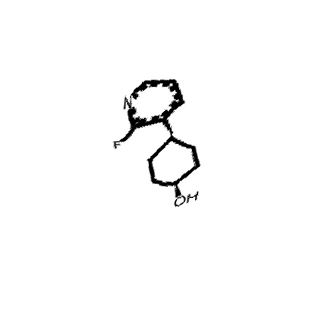 O[C@H]1CC[C@@H](c2cccnc2F)CC1